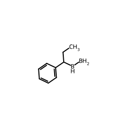 BBC(CC)c1ccccc1